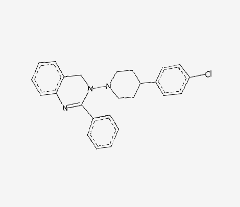 Clc1ccc(C2CCN(N3Cc4ccccc4N=C3c3ccccc3)CC2)cc1